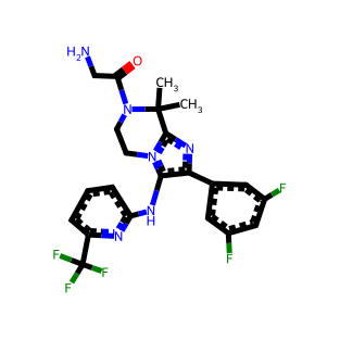 CC1(C)c2nc(-c3cc(F)cc(F)c3)c(Nc3cccc(C(F)(F)F)n3)n2CCN1C(=O)CN